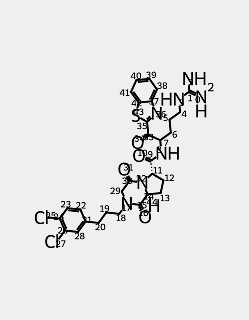 N=C(N)NCCCC(NC(=O)[C@@H]1CC[C@H]2C(=O)N(CCCc3ccc(Cl)c(Cl)c3)CC(=O)N12)C(=O)c1nc2ccccc2s1